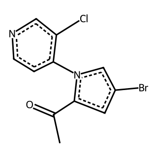 CC(=O)c1cc(Br)cn1-c1ccncc1Cl